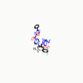 C[C@@H](N1CCN(C(=O)c2nc(-c3ccccc3)no2)CC1)[C@](O)(Cn1cncn1)c1ccc(F)cc1F